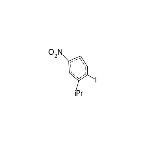 [CH2]C(C)c1cc([N+](=O)[O-])ccc1I